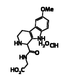 COc1ccc2[nH]c3c(c2c1)CCNC3C(=O)NCC(=O)O.Cl.O